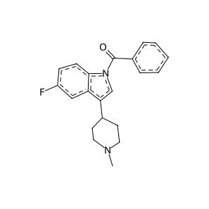 CN1CCC(c2cn(C(=O)c3ccccc3)c3ccc(F)cc23)CC1